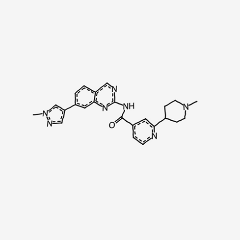 CN1CCC(c2cc(C(=O)Nc3ncc4ccc(-c5cnn(C)c5)cc4n3)ccn2)CC1